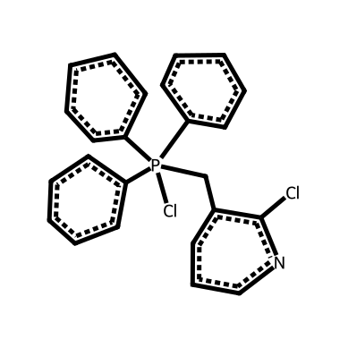 Clc1ncccc1CP(Cl)(c1ccccc1)(c1ccccc1)c1ccccc1